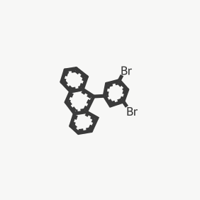 Brc1cc(Br)cc(-c2c3ccccc3cc3ccccc23)c1